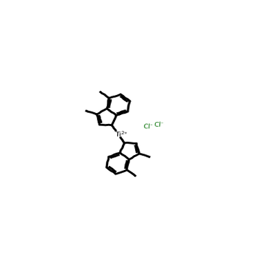 CC1=C[CH]([Ti+2][CH]2C=C(C)c3c(C)cccc32)c2cccc(C)c21.[Cl-].[Cl-]